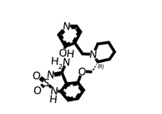 NC1=NS(=O)(=O)Nc2cccc(OC[C@H]3CCCCN3Cc3ccncc3O)c21